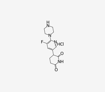 Cl.O=C1CCC(c2cnc(N3CCNCC3)c(F)c2)C(=O)N1